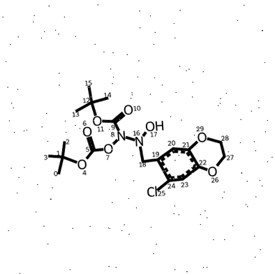 CC(C)(C)OC(=O)ON(C(=O)OC(C)(C)C)N(O)Cc1cc2c(cc1Cl)OCCO2